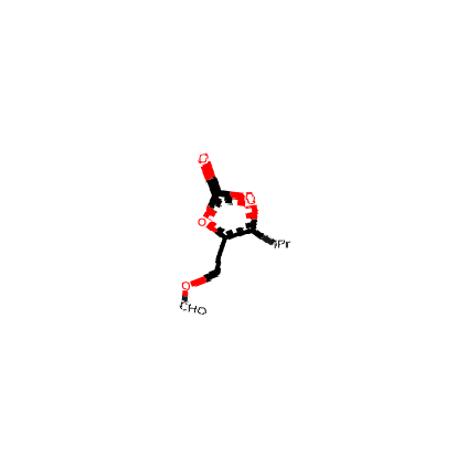 CC(C)c1oc(=O)oc1COC=O